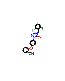 N#Cc1ccccc1Oc1ccc(-n2ncn(Cc3c(F)cccc3F)c2=O)cc1